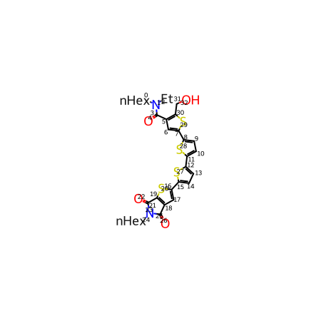 CCCCCCN(CC)C(=O)c1cc(-c2ccc(-c3ccc(-c4cc5c(s4)C(=O)N(CCCCCC)C5=O)s3)s2)sc1CO